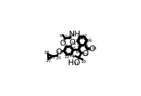 CC(Oc1cc(-c2c(C(C)(C)O)oc(=O)c3ccccc23)ccc1OCC1CC1)C(N)=O